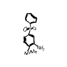 CNc1ccc(S(=O)(=O)c2ccccc2)cc1N